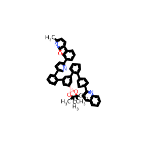 Cc1ccc2c(n1)oc1c(-c3ccc(-c4ccccc4-c4cc(B5OC(C)(C)C(C)(C)O5)cc(-c5ccccc5-c5ccc(-c6ccc7ccccc7n6)cc5)c4)cn3)cccc12